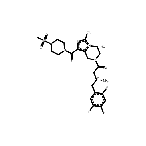 CS(=O)(=O)N1CCN(C(=O)c2nc(C(F)(F)F)n3c2CN(C(=O)C[C@H](N)Cc2cc(F)c(F)cc2F)CC3)CC1.Cl